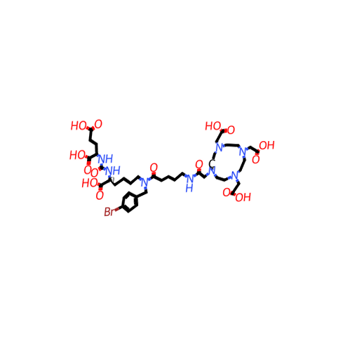 O=C(O)CCC(NC(=O)N[C@@H](CCCCN(Cc1ccc(Br)cc1)C(=O)CCCCNC(=O)CN1CCN(CC(=O)O)CCN(CC(=O)O)CCN(CC(=O)O)CC1)C(=O)O)C(=O)O